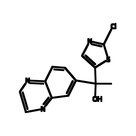 CC(O)(c1ccc2nccnc2c1)c1cnc(Cl)s1